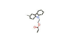 C=CC(=O)OCCn1c2ccccc2c2cc(C)ccc21